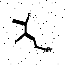 C=C(F)C(F)=CCCCC